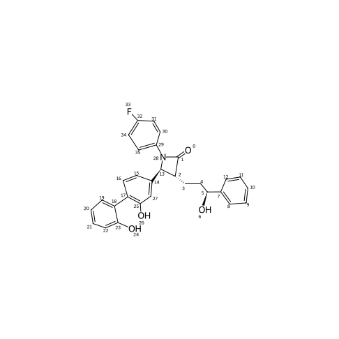 O=C1[C@H](CC[C@H](O)c2ccccc2)[C@@H](c2ccc(-c3ccccc3O)c(O)c2)N1c1ccc(F)cc1